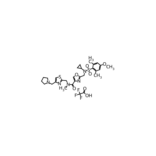 COc1cc(C)c(S(=O)(=O)N(Cc2nc(C(=O)N(C)Cc3nc(CN4CCCC4)cs3)co2)C2CC2)c(C)c1.O=C(O)C(F)(F)F